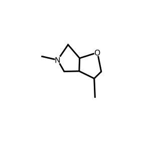 CC1COC2CN(C)CC12